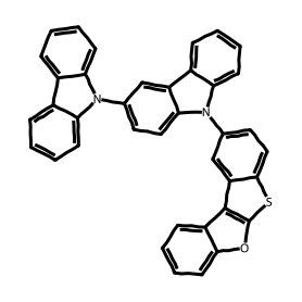 c1ccc2c(c1)oc1sc3ccc(-n4c5ccccc5c5cc(-n6c7ccccc7c7ccccc76)ccc54)cc3c12